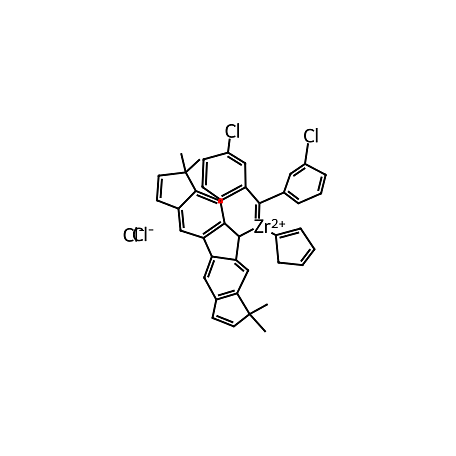 CC1(C)C=Cc2cc3c(cc21)[CH]([Zr+2]([C]1=CC=CC1)=[C](c1cccc(Cl)c1)c1cccc(Cl)c1)c1cc2c(cc1-3)C=CC2(C)C.[Cl-].[Cl-]